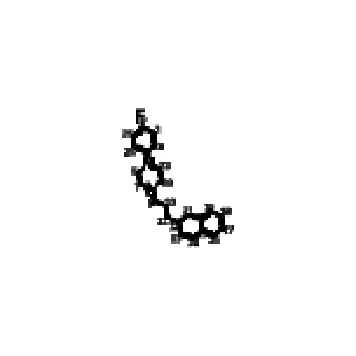 Fc1ccc(N2CCN(CCCC3C=Cc4ccccc4C3)CC2)cc1